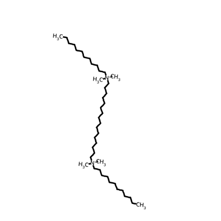 CCCCCCCCCCCC[N+](C)(C)CCCCCCCCCCCCCCCC[N+](C)(C)CCCCCCCCCCCC